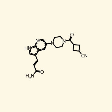 N#CC1CC(C(=O)N2CCN(c3cnc4[nH]cc(C=CC(N)=O)c4c3)CC2)C1